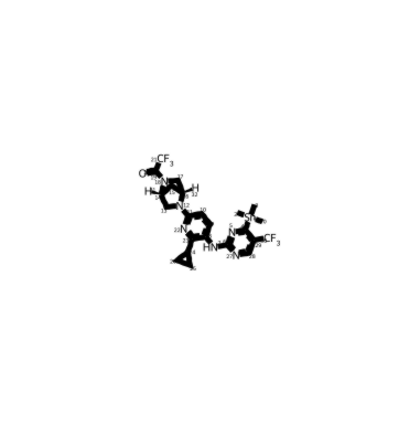 [CH3][Sn]([CH3])([CH3])[c]1nc(Nc2ccc(N3C[C@H]4C[C@@H]3CN4C(=O)C(F)(F)F)nc2C2CC2)ncc1C(F)(F)F